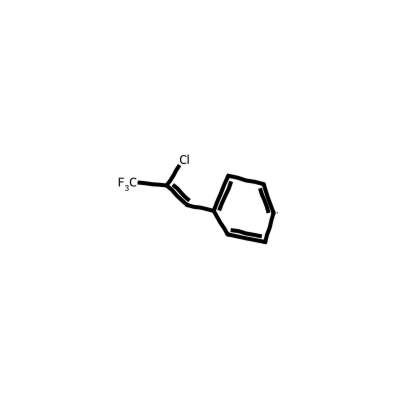 FC(F)(F)C(Cl)=Cc1cc[c]cc1